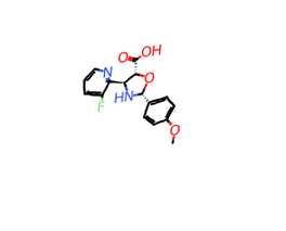 COc1ccc([C@@H]2N[C@@H](c3ncccc3F)[C@H](C(=O)O)O2)cc1